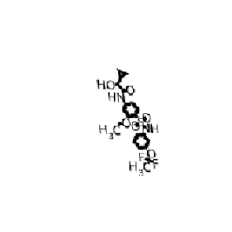 CCOc1cc(NC(=O)C(O)C2CC2)ccc1S(=O)(=O)Nc1cccc(OC(C)(F)F)c1